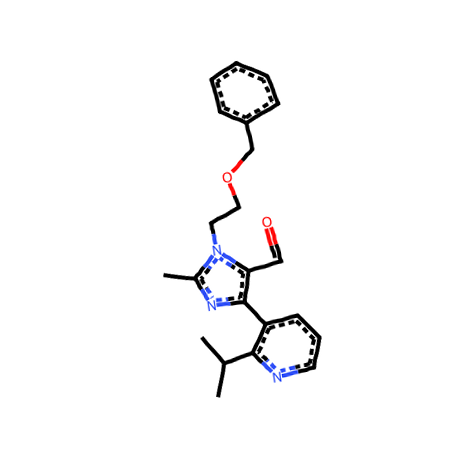 Cc1nc(-c2cccnc2C(C)C)c(C=O)n1CCOCc1ccccc1